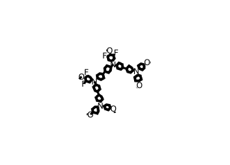 COc1ccc(N(c2ccc(OC)cc2)c2ccc(-c3ccc(N(c4ccc(-c5ccc(N(c6ccc(-c7ccc(N(c8ccc(OC)cc8)c8ccc(OC)cc8)cc7)cc6)c6cc(F)c(OC)c(F)c6)cc5)cc4)c4cc(F)c(OC)c(F)c4)cc3)cc2)cc1